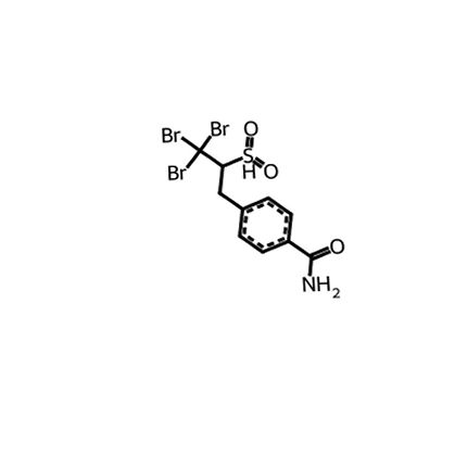 NC(=O)c1ccc(CC([SH](=O)=O)C(Br)(Br)Br)cc1